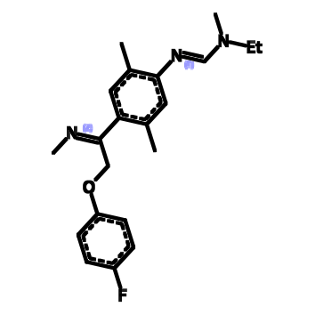 CCN(C)/C=N/c1cc(C)c(/C(COc2ccc(F)cc2)=N/C)cc1C